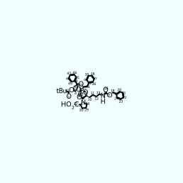 CC(C)(C)C(=O)OCOP(=O)(O[C@@H](CCCCNC(=O)OCc1ccccc1)C(=O)N1CCC[C@H]1C(=O)O)C(Cc1ccccc1)OC(=O)c1ccccc1